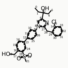 CCC(O)(CC)c1cn(-c2ccc(-c3ccc(CO)c(S(C)(=O)=O)c3)cc2)c(Cc2ccccc2Cl)n1